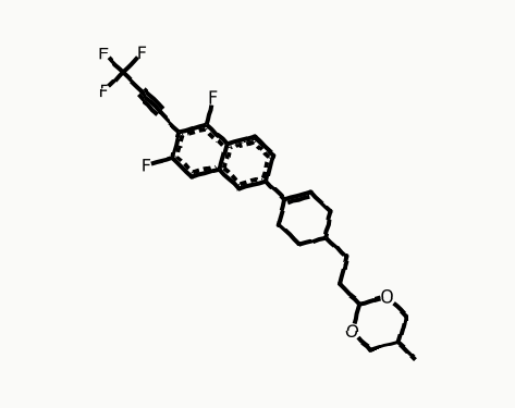 CC1COC(CCC2CC=C(c3ccc4c(F)c(C#CC(F)(F)F)c(F)cc4c3)CC2)OC1